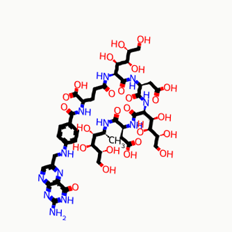 C[C@@H](NC(=O)[C@H](CC(=O)O)NC(=O)[C@@H](NC(=O)[C@H](CC(=O)O)NC(=O)[C@@H](NC(=O)CCC(NC(=O)c1ccc(NCc2cnc3nc(N)[nH]c(=O)c3n2)cc1)C(=O)O)[C@@H](O)[C@H](O)[C@H](O)CO)[C@@H](O)[C@H](O)[C@H](O)CO)[C@@H](O)[C@H](O)[C@H](O)CO